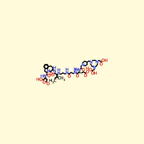 CC[C@H](C)[C@H](NCCCNC(=O)CCNC(=O)[C@@H](CCC(=O)O)NC(=O)CN1CCC(CN2CCN(CC(=O)O)CCN(CC(=O)O)CC2)CC1)C(=O)N[C@H]1CCc2cccc3c2N(C1=O)[C@H](C(=O)N[C@H]1CC(=O)OC1O)C3